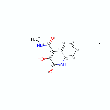 CNC(=O)c1c(O)c(=O)[nH]c2ccccc12